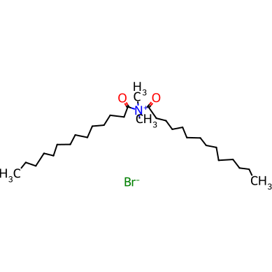 CCCCCCCCCCCCCC(=O)[N+](C)(C)C(=O)CCCCCCCCCCCCC.[Br-]